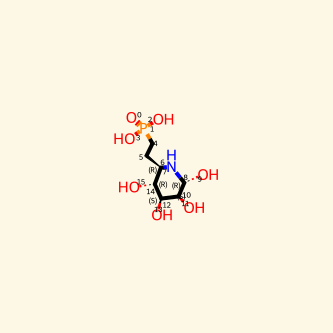 O=P(O)(O)CC[C@H]1N[C@H](O)[C@@H](O)[C@@H](O)[C@@H]1O